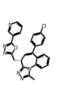 Cc1nnc2n1-c1ccccc1C(c1ccc(Cl)cc1)=C[C@H]2Cc1nnc(-c2cccnc2)o1